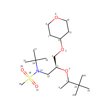 CC(O[C@H](COC1CCOCC1)CN(C(C)(C)C)S(C)(=O)=O)C(C)(C)C